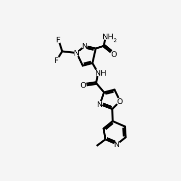 Cc1cc(-c2nc(C(=O)Nc3cn(C(F)F)nc3C(N)=O)co2)ccn1